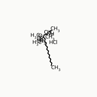 CCCCCCCCCCCCCCCC(CC(C)(C)NCCC)[Si](OC)(OC)OC.Cl